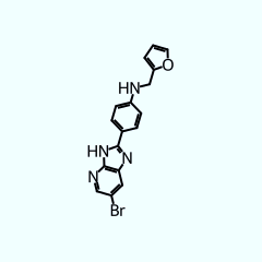 Brc1cnc2[nH]c(-c3ccc(NCc4ccco4)cc3)nc2c1